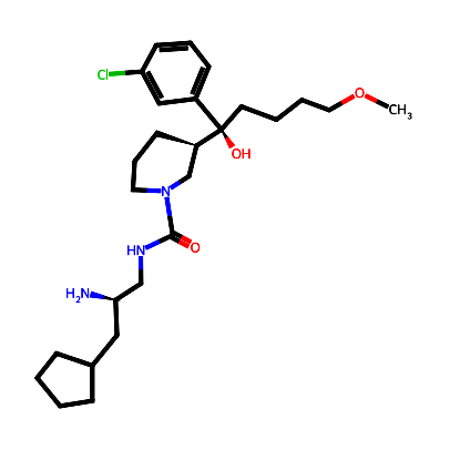 COCCCC[C@@](O)(c1cccc(Cl)c1)[C@@H]1CCCN(C(=O)NC[C@H](N)CC2CCCC2)C1